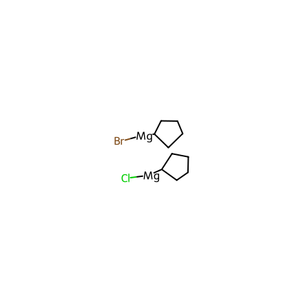 [Br][Mg][CH]1CCCC1.[Cl][Mg][CH]1CCCC1